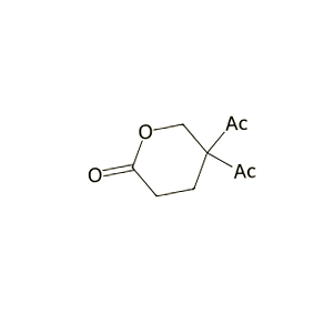 CC(=O)C1(C(C)=O)CCC(=O)OC1